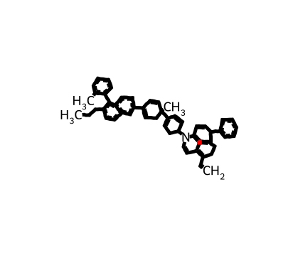 C=CC1=C(/C=C\N(C2=CCC(c3ccccc3)C=C2)C2C=CC(C3(C)C=CC(c4ccc5c(-c6ccccc6C)c(CCC)ccc5c4)=CC3)=CC2)C=CCC1